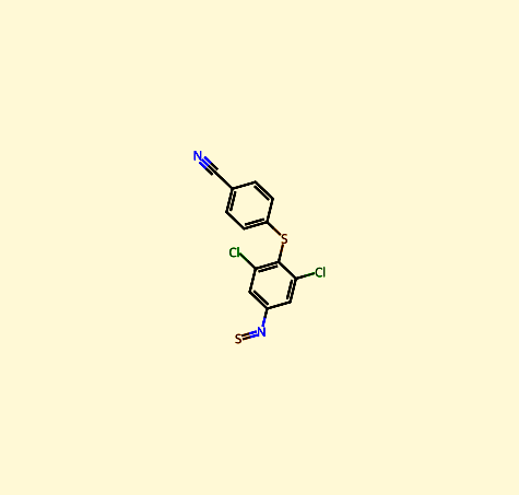 N#Cc1ccc(Sc2c(Cl)cc(N=S)cc2Cl)cc1